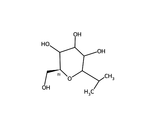 CC(C)C1O[C@@H](CO)C(O)C(O)C1O